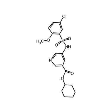 COc1ccc(Cl)cc1S(=O)(=O)Nc1cncc(C(=O)OC2CCCCC2)c1